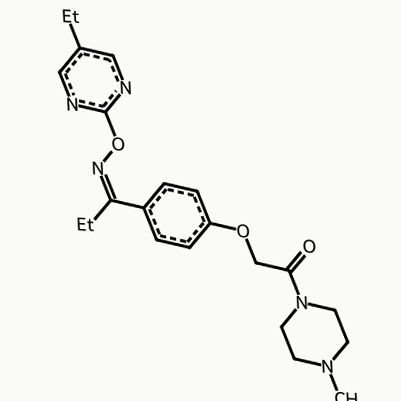 CCC(=NOc1ncc(CC)cn1)c1ccc(OCC(=O)N2CCN(C)CC2)cc1